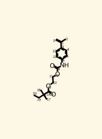 C=C(C)c1ccc(NC(=O)OCCOC(=O)C(C)(C)CC)cc1